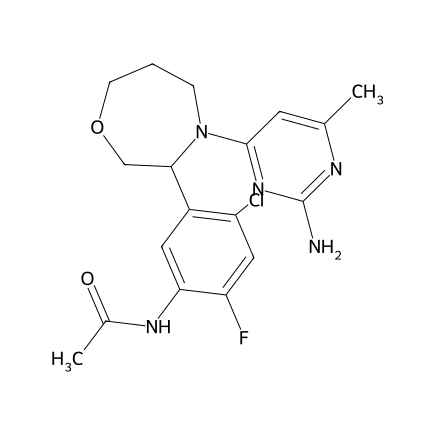 CC(=O)Nc1cc(C2COCCCN2c2cc(C)nc(N)n2)c(Cl)cc1F